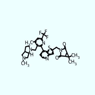 Cc1cc(C(F)(F)F)nc(-c2ccnc3cc(CN4C(=O)C5C(C4=O)C5(C)C)sc23)c1CN1CCC2CN(C)C[C@@H]21